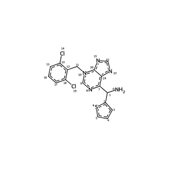 NC(c1cccs1)c1ncn(Cc2c(Cl)cccc2Cl)c2ncnc1-2